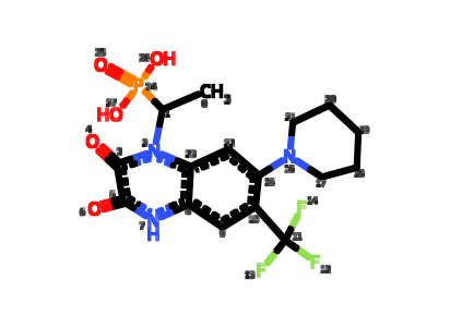 CC(n1c(=O)c(=O)[nH]c2cc(C(F)(F)F)c(N3CCCCC3)cc21)P(=O)(O)O